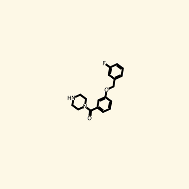 O=C(c1cccc(OCc2cccc(F)c2)c1)N1CCNCC1